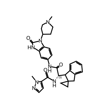 CN1CCC(n2c(=O)[nH]c3cc(NC(=O)[C@@H](NC(=O)c4ccnn4C)C4c5ccccc5CC45CC5)ccc32)CC1